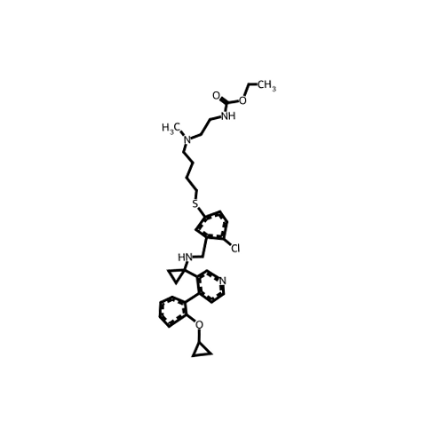 CCOC(=O)NCCN(C)CCCCSc1ccc(Cl)c(CNC2(c3cnccc3-c3ccccc3OC3CC3)CC2)c1